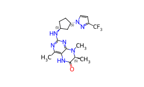 Cc1nc(N[C@H]2CC[C@H](n3ccc(C(F)(F)F)n3)C2)nc2c1NC(=O)[C@H](C)N2C